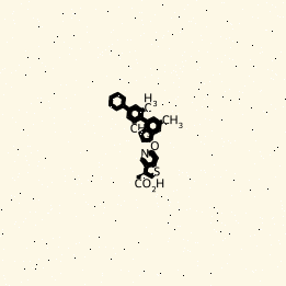 Cc1cc(-c2c(C)cc(C3CCCCC3)cc2C)c2c(c1)C(Oc1cc3c(cn1)[C@H](CC(=O)O)CS3)CC2